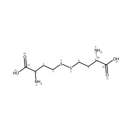 NC(CCSSCC[C@H](N)C(=O)O)C(=O)O